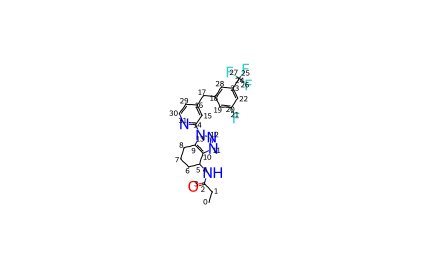 CCC(=O)NC1CCCc2c1nnn2-c1cc(Cc2cc(F)cc(C(F)(F)F)c2)ccn1